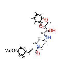 COc1ccc(C=CC(=O)N2CCC(NCC(O)C3COc4ccccc4O3)CC2)cc1